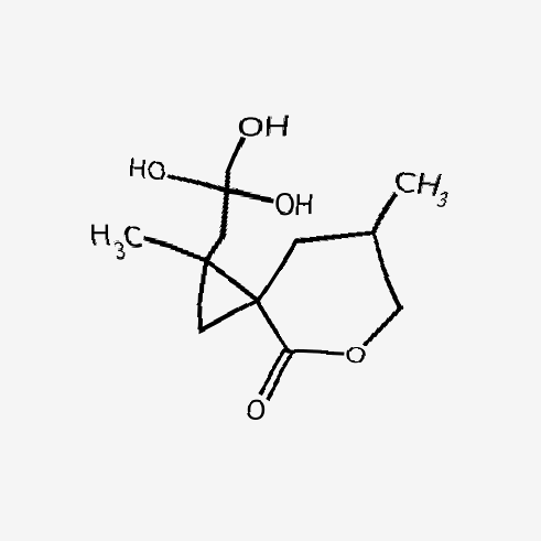 CC1COC(=O)C2(C1)CC2(C)C(O)(O)O